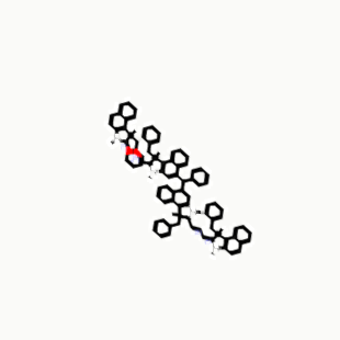 CN1/C(=C/C=C/C2=[N+](C)c3cc(C(c4ccccc4)c4cc5c(c6ccccc46)C(C)(Cc4ccccc4)C(/C=C/C=C4/N(C)c6ccc7ccccc7c6C4(C)Cc4ccccc4)=[N+]5C)c4ccccc4c3C2(C)Cc2ccccc2)C(C)(Cc2ccccc2)c2c1ccc1ccccc21